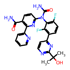 CC(C)(O)c1nccc(-c2ccc(F)c(N(C(N)=O)c3ccc(C(N)=O)c(-c4ccccn4)n3)c2F)n1